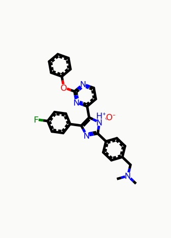 CN(C)Cc1ccc(C2=NC(c3ccc(F)cc3)=C(c3ccnc(Oc4ccccc4)n3)[NH+]2[O-])cc1